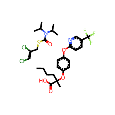 CC(C)N(C(=O)SC/C(Cl)=C/Cl)C(C)C.CCCCC(C)(Oc1ccc(Oc2ccc(C(F)(F)F)cn2)cc1)C(=O)O